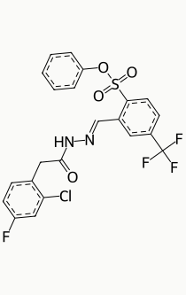 O=C(Cc1ccc(F)cc1Cl)NN=Cc1cc(C(F)(F)F)ccc1S(=O)(=O)Oc1ccccc1